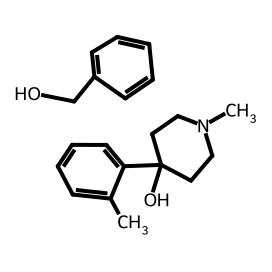 Cc1ccccc1C1(O)CCN(C)CC1.OCc1ccccc1